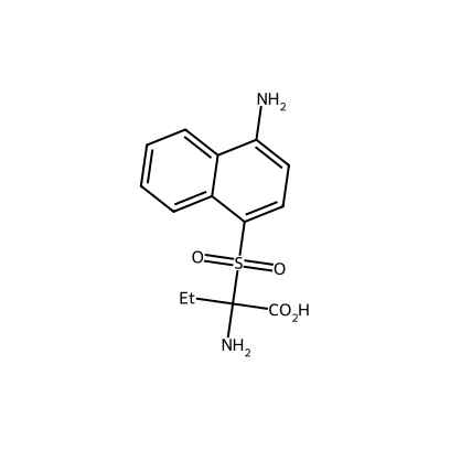 CCC(N)(C(=O)O)S(=O)(=O)c1ccc(N)c2ccccc12